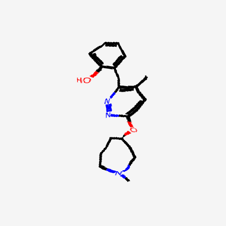 Cc1cc(O[C@@H]2CCCN(C)C2)nnc1-c1ccccc1O